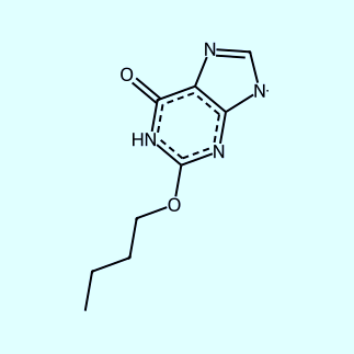 CCCCOc1nc2c(c(=O)[nH]1)N=C[N]2